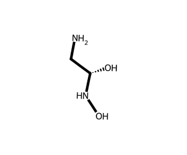 NC[C@H](O)NO